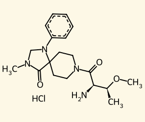 CO[C@@H](C)[C@@H](N)C(=O)N1CCC2(CC1)C(=O)N(C)CN2c1ccccc1.Cl